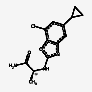 C[C@H](Nc1nc2cc(C3CC3)cc(Cl)c2o1)C(N)=O